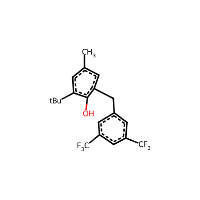 Cc1cc(Cc2cc(C(F)(F)F)cc(C(F)(F)F)c2)c(O)c(C(C)(C)C)c1